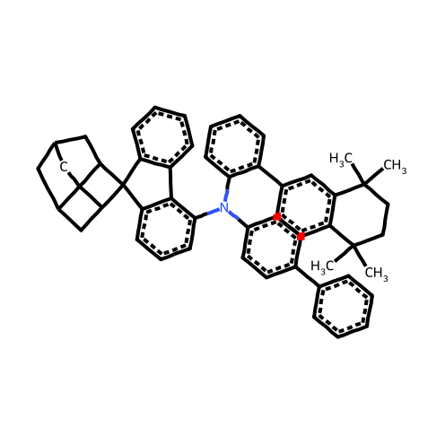 CC1(C)CCC(C)(C)c2cc(-c3ccccc3N(c3ccc(-c4ccccc4)cc3)c3cccc4c3-c3ccccc3C43C4CC5CC6CC3C64C5)ccc21